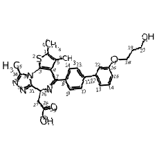 Cc1sc2c(c1C)C(c1ccc(-c3cccc(OCCCO)c3)cc1)=N[C@@H](CC(=O)O)c1nnc(C)n1-2